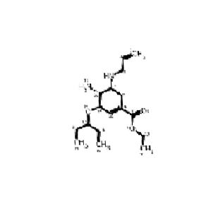 C=CCN[C@H]1CC(C(=O)OCC)=C[C@@H](OC(CC)CC)[C@@H]1N